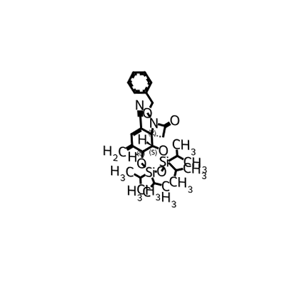 C=C1C=C(C#N)[C@]2(CC(=O)N2OCc2ccccc2)[C@@H]2O[Si](C(C)C)(C(C)C)O[Si](C(C)C)(C(C)C)O[C@@H]12